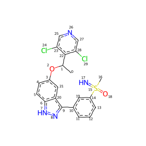 CC(Oc1ccc2[nH]nc(-c3cccc(S(C)(=N)=O)c3)c2c1)c1c(Cl)cncc1Cl